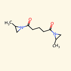 CC1CN1C(=O)CCCC(=O)N1CC1C